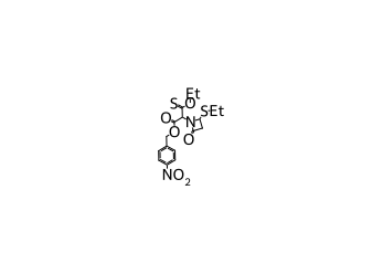 CCOC(=S)C(C(=O)OCc1ccc([N+](=O)[O-])cc1)N1C(=O)CC1SCC